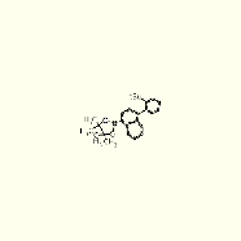 CC(C)(C)c1ccccc1-c1ccc(B2OC(C)(C)C(C)(C)O2)c2ccccc12